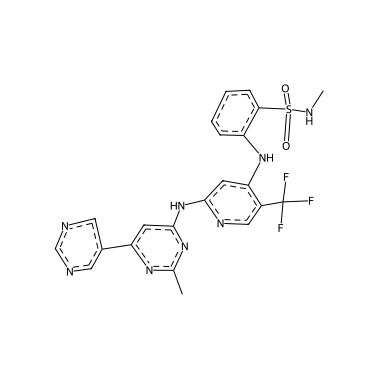 CNS(=O)(=O)c1ccccc1Nc1cc(Nc2cc(-c3cncnc3)nc(C)n2)ncc1C(F)(F)F